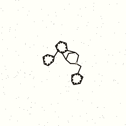 c1ccc(CN2CC3CC(C2)c2c(-c4ccccc4)cccc23)cc1